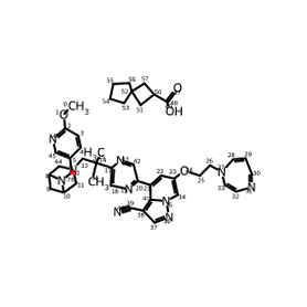 COc1ccc(CN2C3CC2CN(CC(C)(C)c2cnc(-c4cc(OCCN5C=CC=NC=C5)cn5ncc(C#N)c45)cn2)C3)cn1.O=C(O)C1CC2(CCCC2)C1